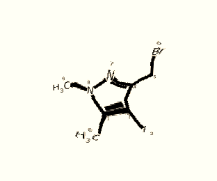 Cc1c(I)c(CBr)nn1C